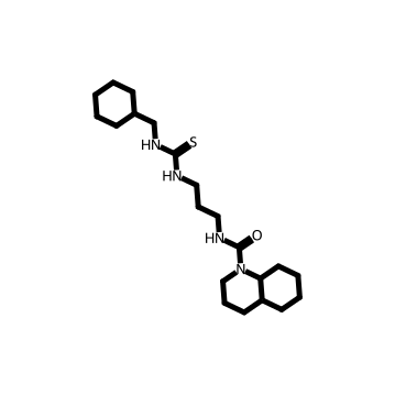 O=C(NCCCNC(=S)NCC1CCCCC1)N1CCCC2CCCCC21